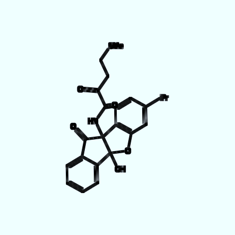 CSCCC(=O)C(=O)NC12C(=O)c3ccccc3C1(O)Oc1cc(C(C)C)ccc12